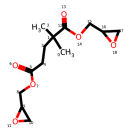 CC(C)(CCC(=O)OCC1CO1)C(=O)OCC1CO1